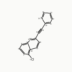 Clc1cccc2nc(C#Cc3ccccn3)ccc12